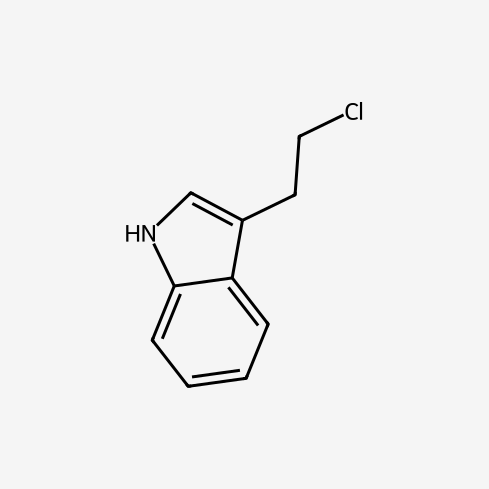 ClCCc1c[nH]c2ccccc12